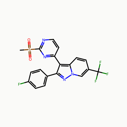 CS(=O)(=O)c1nccc(-c2c(-c3ccc(F)cc3)nn3cc(C(F)(F)F)ccc23)n1